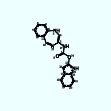 O=C(NC1=CNc2ccccc2C=N1)Oc1cc2ccccc2[nH]1